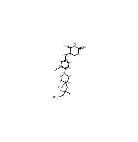 CC(C)(CC(=O)O)CC1(O)CCN(c2ccc(NC3CCC(=O)NC3=O)cc2F)CC1